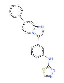 c1ccc(-c2ccn3c(-c4cccc(Nc5nncs5)c4)cnc3c2)cc1